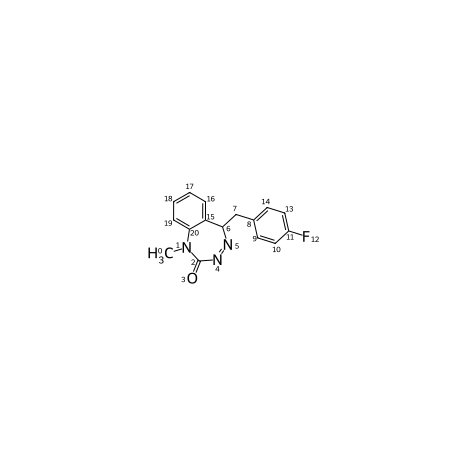 CN1C(=O)N=NC(Cc2ccc(F)cc2)c2ccccc21